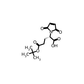 CC(C)(C)OC(=O)CC[C@@H](C(=O)O)N1C(=O)C=CC1=O